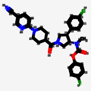 CN(C(=O)Oc1ccc(F)cc1)[C@@H]1CN(C(=O)C2CCN(c3ccc(C#N)cn3)CC2)C[C@H]1c1ccc(Cl)cc1